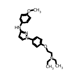 CCN(CC)CCOc1ccc(-n2ccc(Nc3ccc(OC)cc3)n2)cc1